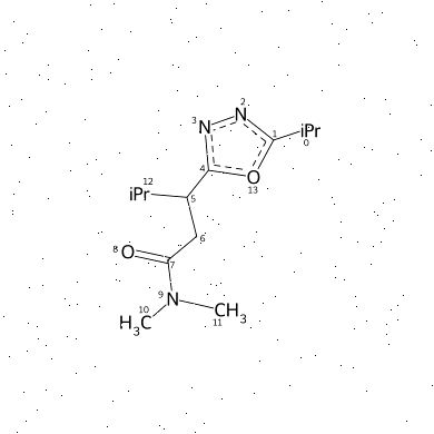 CC(C)c1nnc(C(CC(=O)N(C)C)C(C)C)o1